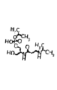 CC(C)NCCC(=O)NC(CO)COP(=O)(O)OC(C)C